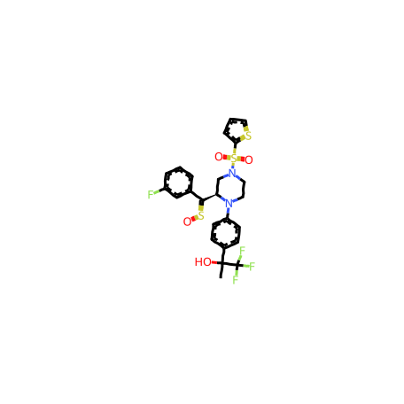 CC(O)(c1ccc(N2CCN(S(=O)(=O)c3cccs3)C[C@@H]2C(=S=O)c2cccc(F)c2)cc1)C(F)(F)F